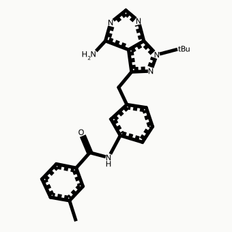 Cc1cccc(C(=O)Nc2cccc(Cc3nn(C(C)(C)C)c4ncnc(N)c34)c2)c1